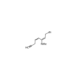 C#CC/C=C\C(=C/CC(C)C)NC